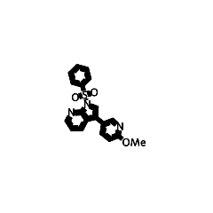 COc1ccc(-c2cn(S(=O)(=O)c3ccccc3)c3ncccc23)cn1